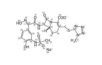 Cn1nnnc1SCC1=C(C(=O)[O-])N2C(=O)C(NC(=O)/C(=N/O)c3ccc(O)c(NS(C)(=O)=O)c3)[C@H]2SC1.[Na+]